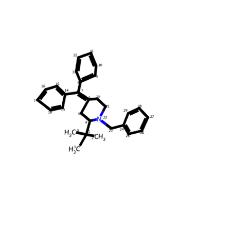 CC(C)(C)C1CC(=C(c2ccccc2)c2ccccc2)CCN1Cc1ccccc1